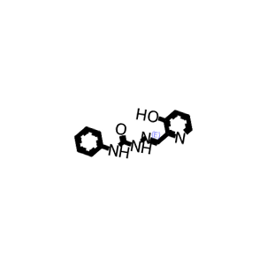 O=C(N/N=C/c1ncccc1O)Nc1ccccc1